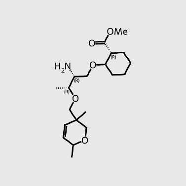 COC(=O)[C@@H]1CCCCC1OC[C@@H](N)[C@@H](C)OCC1(C)C=CC(C)OC1